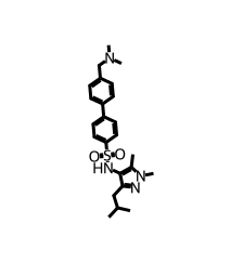 Cc1c(NS(=O)(=O)c2ccc(-c3ccc(CN(C)C)cc3)cc2)c(CC(C)C)nn1C